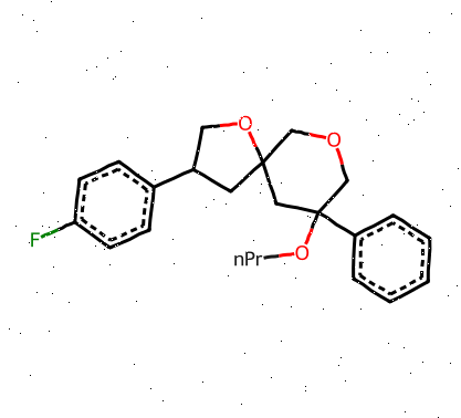 CCCOC1(c2ccccc2)COCC2(CC(c3ccc(F)cc3)CO2)C1